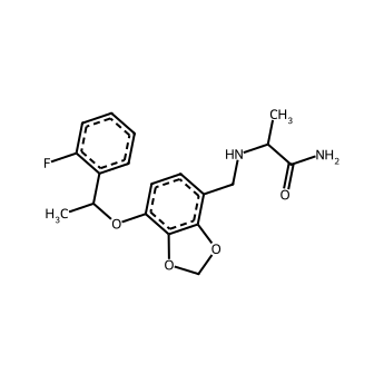 CC(NCc1ccc(OC(C)c2ccccc2F)c2c1OCO2)C(N)=O